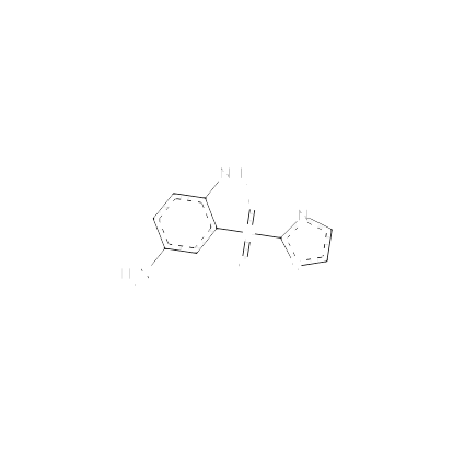 Nc1ccc(N)c(S(=O)(=O)c2nccs2)c1